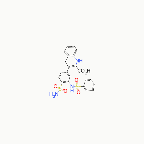 NS(=O)(=O)c1ccc(C2=C(C(=O)O)Nc3ccccc3C2)cc1NS(=O)(=O)c1ccccc1